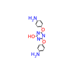 Nc1ccc(Oc2nc(O)nc(Oc3ccc(N)cc3)n2)cc1